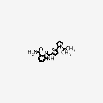 CC(C)N1CCCC1c1ccc(-c2nc3c(C(N)=O)cccc3[nH]2)s1